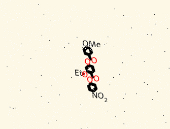 CCOc1cc(OC(=O)c2ccc(OC)cc2)ccc1C(=O)Oc1ccc([N+](=O)[O-])cc1